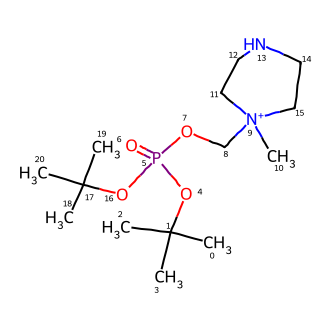 CC(C)(C)OP(=O)(OC[N+]1(C)CCNCC1)OC(C)(C)C